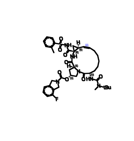 Cc1ccccc1S(=O)(=O)NC(=O)[C@@]12C[C@H]1/C=C\CCCCC[C@H](NC(=O)N(C)C(C)(C)C)C(=O)N1C[C@H](OC(=O)N3Cc4cccc(F)c4C3)C[C@H]1C(=O)N2